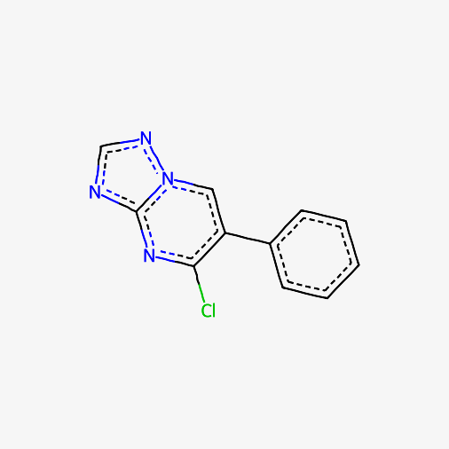 Clc1nc2ncnn2cc1-c1ccccc1